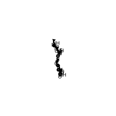 CN(C[C@H]1CC[C@H](n2cc(NC(=O)c3coc(-c4ccnc(NCC5CC5)c4)n3)c(C(F)F)n2)CC1)C1CC(OC2CCN(Cc3cccc4c3n(C)c(=O)n4C3CCC(=O)NC3=O)CC2)C1